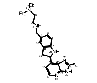 CCN(CC)CCNCc1ccc2c(c1)CC(c1ccnc3[nH]c(C)nc13)N2